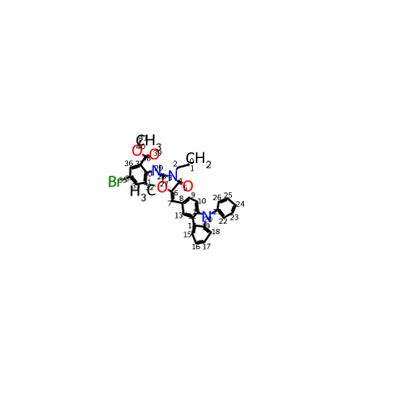 C=CCN1C(=O)/C(=C\c2ccc3c(c2)c2ccccc2n3-c2ccccc2)O/C1=N\c1c(C)cc(Br)cc1C(=O)OC